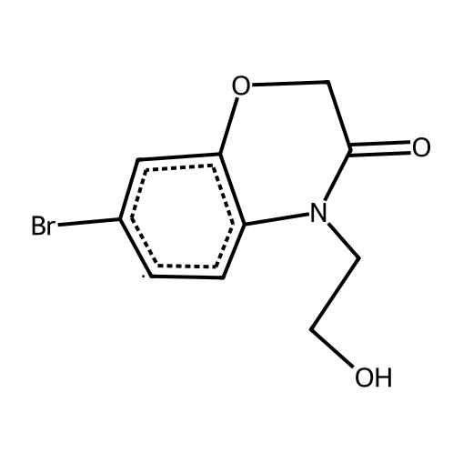 O=C1COc2cc(Br)[c]cc2N1CCO